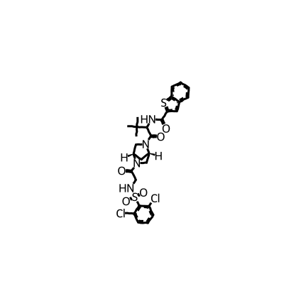 CC(C)(C)C(NC(=O)c1cc2ccccc2s1)C(=O)N1C[C@@H]2C[C@H]1CN2C(=O)CNS(=O)(=O)c1c(Cl)cccc1Cl